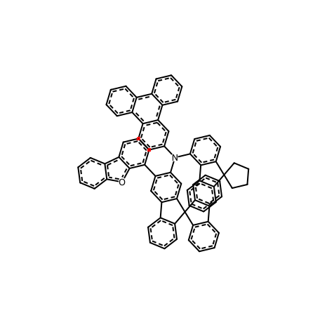 c1ccc2c(c1)-c1c(N(c3ccc4c5ccccc5c5ccccc5c4c3)c3cc4c(cc3-c3cccc5c3oc3ccccc35)-c3ccccc3C43c4ccccc4-c4ccccc43)cccc1C21CCCC1